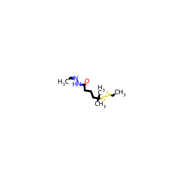 C/C=N\NC(=O)CCCC(C)(C)SSCC